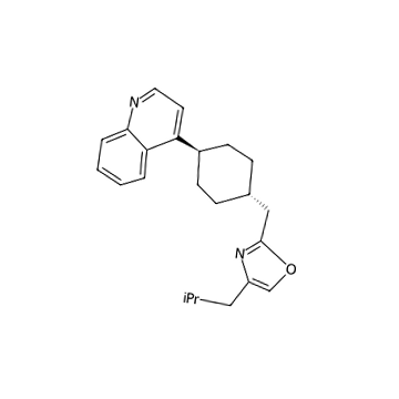 CC(C)Cc1coc(C[C@H]2CC[C@H](c3ccnc4ccccc43)CC2)n1